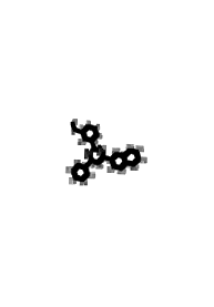 CCc1cccc(-c2nc(-c3ccccc3)cc(-c3ccc4ccccc4c3)n2)c1